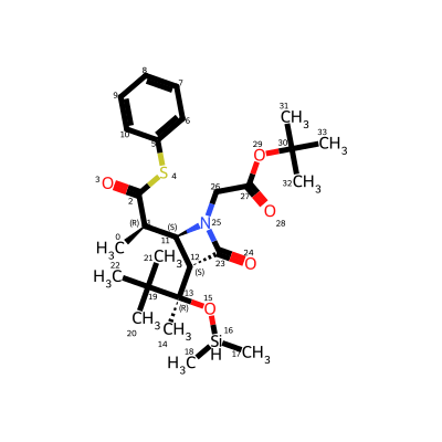 C[C@@H](C(=O)Sc1ccccc1)[C@@H]1[C@@H]([C@@](C)(O[SiH](C)C)C(C)(C)C)C(=O)N1CC(=O)OC(C)(C)C